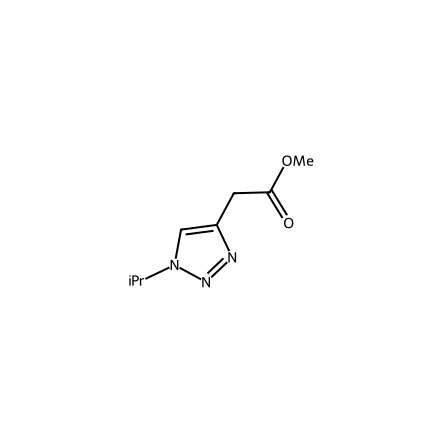 COC(=O)Cc1cn(C(C)C)nn1